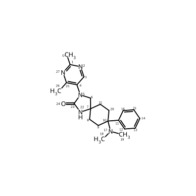 Cc1ncc(N2CC3(CCC(c4ccccc4)(N(C)C)CC3)NC2=O)c(C)n1